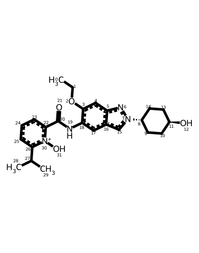 CCOc1cc2nn([C@H]3CC[C@H](O)CC3)cc2cc1NC(=O)c1cccc(C(C)C)[n+]1O